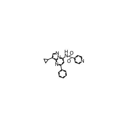 O=S(=O)(Nc1cc(-c2ccccc2)nc2c(C3CC3)cnn12)c1ccncc1